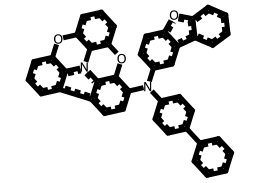 c1ccc(-c2ccc(N(c3ccc4oc5ccccc5c4c3)c3ccc4c5cccc6c5n5c4c3Oc3cccc(c3-5)O6)cc2)cc1